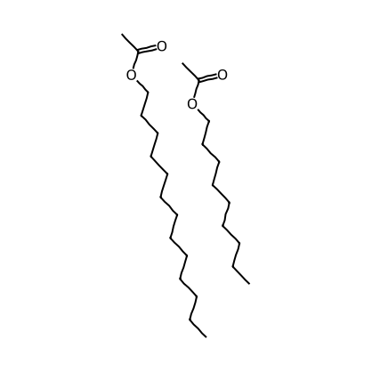 CCCCCCCCCCCCCOC(C)=O.CCCCCCCCCOC(C)=O